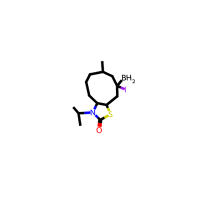 BC1(I)CC(C)CCCC2C(C1)SC(=O)N2C(C)C